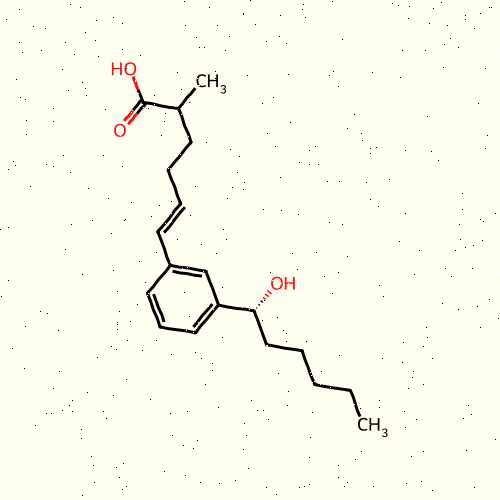 CCCCC[C@@H](O)c1cccc(C=CCCC(C)C(=O)O)c1